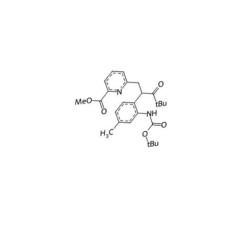 COC(=O)c1cccc(CC(C(=O)C(C)(C)C)c2ccc(C)cc2NC(=O)OC(C)(C)C)n1